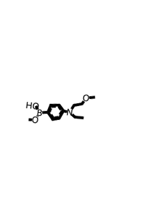 CCN(CCOC)c1ccc(B(O)OC)cc1